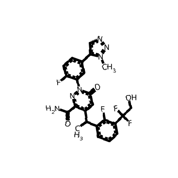 CC(c1cc(=O)n(-c2cc(-c3cnnn3C)ccc2F)nc1C(N)=O)c1cccc(C(F)(F)CO)c1F